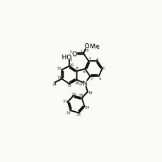 COC(=O)c1cccc2c1c1c(O)cc(C)cc1n2Cc1ccccc1